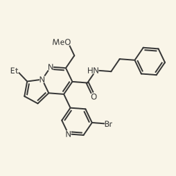 CCc1ccc2c(-c3cncc(Br)c3)c(C(=O)NCCc3ccccc3)c(COC)nn12